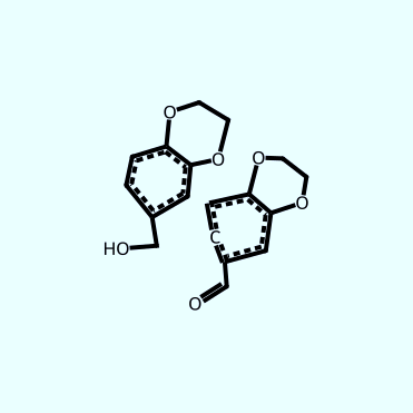 O=Cc1ccc2c(c1)OCCO2.OCc1ccc2c(c1)OCCO2